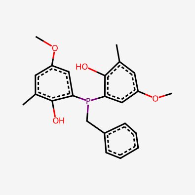 COc1cc(C)c(O)c(P(Cc2ccccc2)c2cc(OC)cc(C)c2O)c1